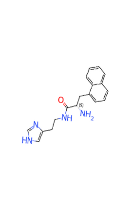 N[C@@H](Cc1cccc2ccccc12)C(=O)NCCc1c[nH]cn1